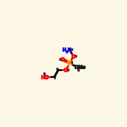 COP(=O)(ON)OCCO